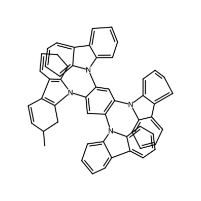 CC1C=Cc2c3c(n(-c4cc(-n5c6ccccc6c6ccccc65)c(-n5c6ccccc6c6ccccc65)cc4-n4c5ccccc5c5ccccc54)c2C1)CCC=C3